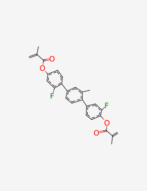 C=C(C)C(=O)Oc1ccc(-c2ccc(-c3ccc(OC(=O)C(=C)C)c(F)c3)c(C)c2)c(F)c1